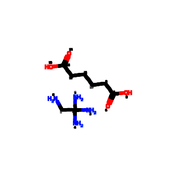 NCC(N)(N)N.O=C(O)CCCCC(=O)O